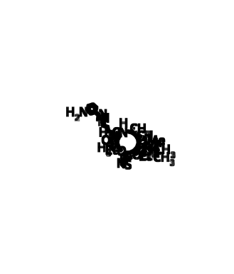 CCO[C@@H](O[C@@H]1CC(=O)[C@@H](Cc2cncs2)C(=O)O[C@H](CC)[C@@]2(C)OC(=O)N(CCCCn3cc(-c4cccc(N)c4)nn3)[C@@H]2[C@@H](C)NC[C@H](C)C[C@@]1(C)OC)C(O)C(CC)N(C)C